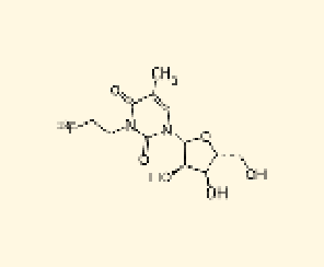 Cc1cn([C@@H]2O[C@H](CO)[C@@H](O)[C@H]2O)c(=O)n(CC[18F])c1=O